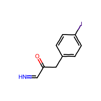 N=CC(=O)Cc1ccc(I)cc1